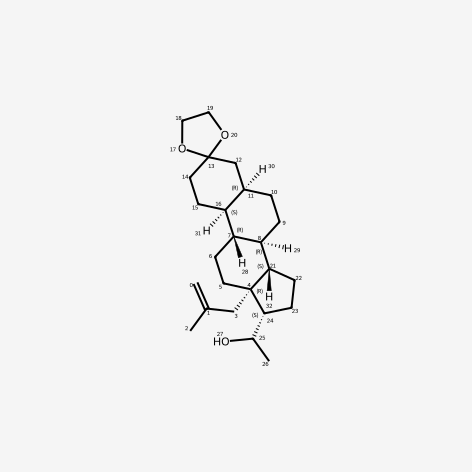 C=C(C)C[C@]12CC[C@H]3[C@@H](CC[C@@H]4CC5(CC[C@@H]43)OCCO5)[C@@H]1CC[C@@H]2C(C)O